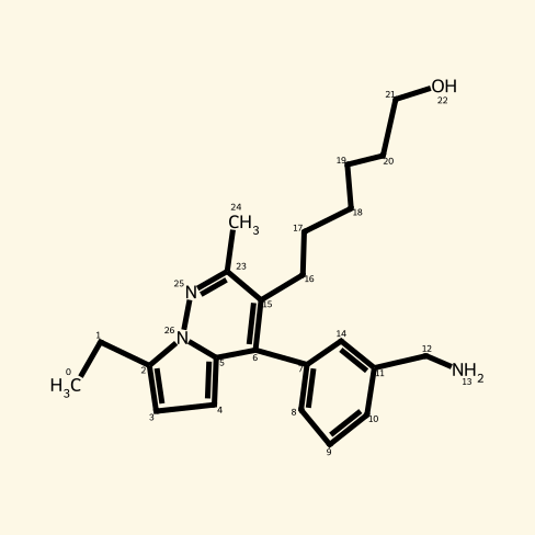 CCc1ccc2c(-c3cccc(CN)c3)c(CCCCCCO)c(C)nn12